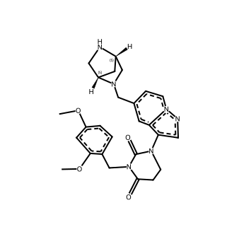 COc1ccc(CN2C(=O)CCN(c3cnn4ccc(CN5C[C@@H]6C[C@H]5CN6)cc34)C2=O)c(OC)c1